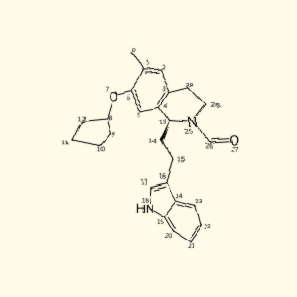 Cc1cc2c(cc1OC1CCCC1)[C@H](CCc1c[nH]c3ccccc13)N(C=O)CC2